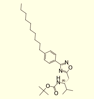 CCCCCCCCCCc1ccc(-c2noc(C[C@@H](NC(=O)OC(C)(C)C)C(C)C)n2)cc1